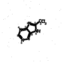 ClC(Cl)(Cl)c1nc2ncncc2[nH]1